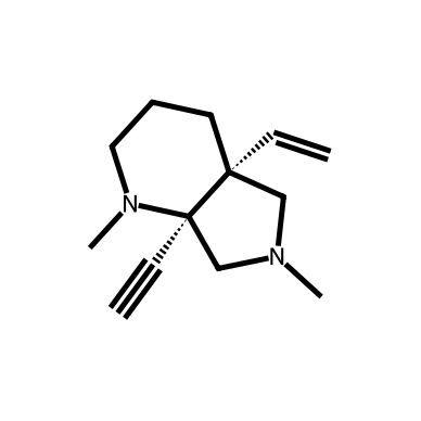 C#C[C@@]12CN(C)C[C@]1(C=C)CCCN2C